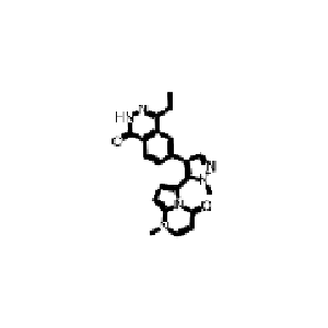 CCc1n[nH]c(=O)c2ccc(-c3cnn(C)c3-c3ccc4n(C)ccc(=O)n34)cc12